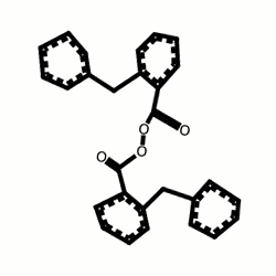 O=C(OOC(=O)c1ccccc1Cc1ccccc1)c1ccccc1Cc1ccccc1